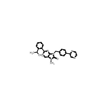 CC(C)c1ccccc1-c1ncc2c(n1)n(Cc1ccc(-c3cnccn3)cc1)c(=O)n2C